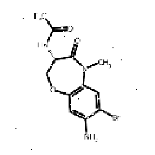 CN1C(=O)[C@@H](NC(=O)C(F)(F)F)COc2cc(N)c(Br)cc21